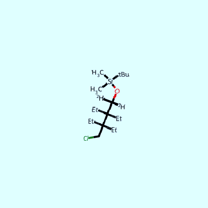 [2H]C([2H])(O[Si](C)(C)C(C)(C)C)C(CC)(CC)C(CC)(CC)CCl